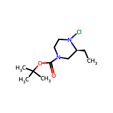 CC[C@H]1CN(C(=O)OC(C)(C)C)CCN1Cl